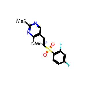 CNc1nc(SC)ncc1/C=C/S(=O)(=O)c1ccc(F)cc1F